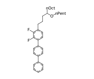 CCCCCCCCC(CCCc1ccc(-c2ccc(-c3ccccc3)cc2)c(F)c1F)OCCCCC